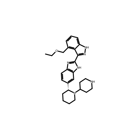 CCOCc1cccc2[nH]nc(-c3nc4ccc([C@H]5CCCCN5C5CCNCC5)cc4[nH]3)c12